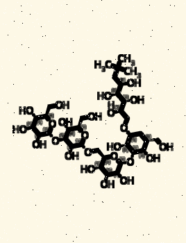 CC(C)(C)C[C@@H](O)[C@@H](O)[C@H](O)[C@H](O)CO[C@H]1C[C@H](CO)[C@@H](O)[C@H](O[C@H]2O[C@H](CO[C@H]3O[C@H](CO)[C@@H](O)[C@H](O[C@H]4O[C@H](CO)[C@@H](O)[C@H](O)[C@@H]4O)[C@@H]3O)[C@@H](O)[C@H](O)[C@@H]2O)[C@@H]1O